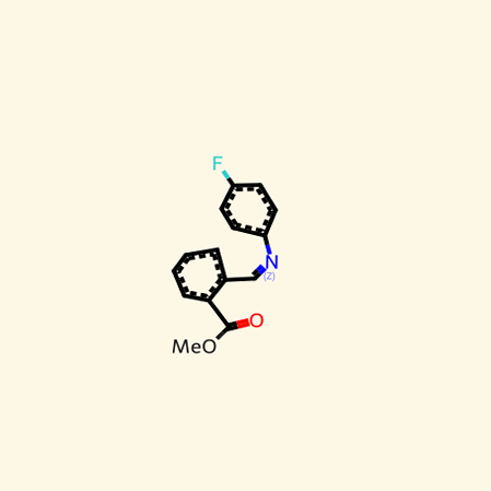 COC(=O)c1ccccc1/C=N\c1ccc(F)cc1